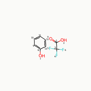 O=C(O)C(F)(F)F.Oc1ccccc1